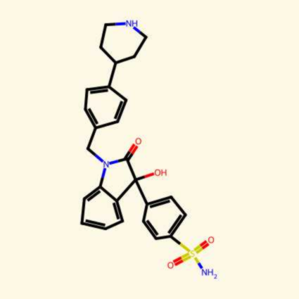 NS(=O)(=O)c1ccc(C2(O)C(=O)N(Cc3ccc(C4CCNCC4)cc3)c3ccccc32)cc1